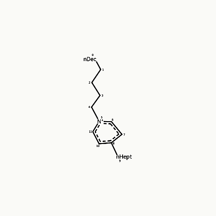 CCCCCCCCCCCCCC[n+]1ccc(CCCCCCC)cc1